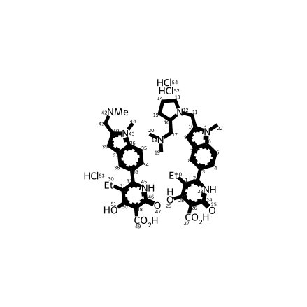 CCc1c(-c2ccc3c(c2)cc(CN2CCCC2CN(C)C)n3C)[nH]c(=O)c(C(=O)O)c1O.CCc1c(-c2ccc3c(c2)cc(CNC)n3C)[nH]c(=O)c(C(=O)O)c1O.Cl.Cl.Cl